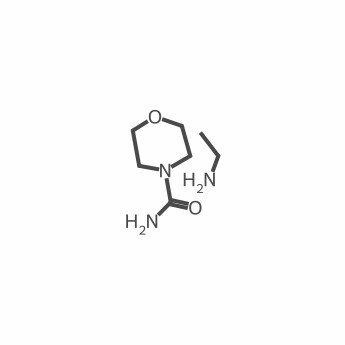 CCN.NC(=O)N1CCOCC1